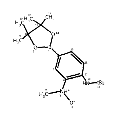 C[NH+]([O-])c1cc(B2OC(C)(C)C(C)(C)O2)ccc1NC(C)(C)C